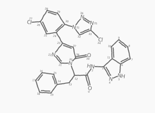 O=C(Nc1n[nH]c2ccccc12)C(Cc1ccccc1)n1cnc(-c2cc(Cl)ccc2-n2cc(Cl)nn2)cc1=O